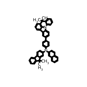 CC1(C)c2ccccc2-c2ccc(N(c3ccc(-c4ccc5c(c4)c4cccc6c4n5-c4ccccc4C6(C)C)cc3)c3ccc4ccccc4c3)cc21